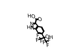 O=C(O)c1n[nH]c2cc(C(O)(C(F)(F)F)C(F)(F)F)ccc12